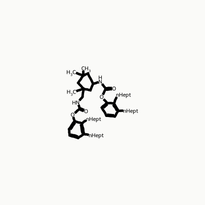 CCCCCCCc1cccc(OC(=O)NCC2(C)CC(NC(=O)Oc3cccc(CCCCCCC)c3CCCCCCC)CC(C)(C)C2)c1CCCCCCC